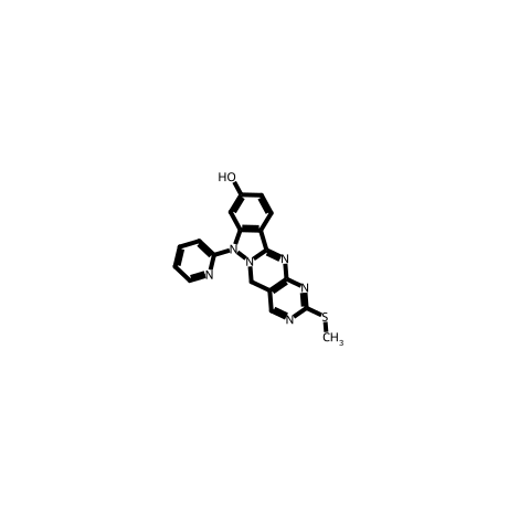 CSc1ncc2c(n1)N=C1c3ccc(O)cc3N(c3ccccn3)N1C2